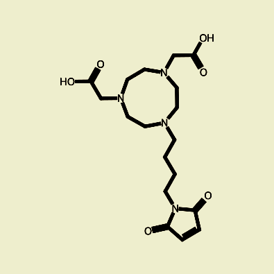 O=C(O)CN1CCN(CCCCN2C(=O)C=CC2=O)CCN(CC(=O)O)CC1